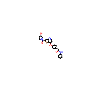 O=C(Cc1ccc(Oc2ccnc3cc(C(=O)N4CCC(O)C4)sc23)cc1)Nc1ccccc1